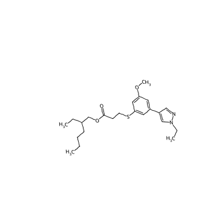 CCCCC(CC)COC(=O)CCSc1cc(OC)cc(-c2cnn(CC)c2)c1